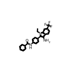 CCn1c(-c2ccc(NC(=O)c3ccccc3)cc2)c(N)c2ccc(C(F)(F)F)cc21